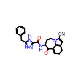 N#Cc1cc2c3n1CCC(NC(=O)c1nnc(Cc4ccccc4)[nH]1)C(=O)C3=CCC2